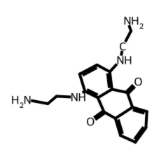 NCCNc1ccc(NCCN)c2c1C(=O)c1ccccc1C2=O